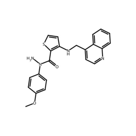 COc1ccc(N(N)C(=O)c2sccc2NCc2ccnc3ccccc23)cc1